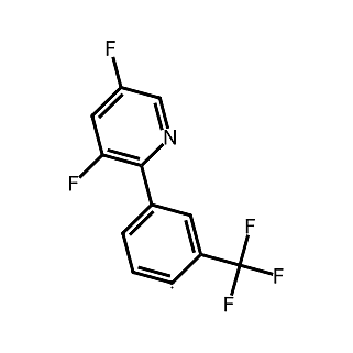 Fc1cnc(-c2cc[c]c(C(F)(F)F)c2)c(F)c1